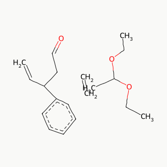 C=C.C=CC(CC=O)c1ccccc1.CCOC(C)OCC